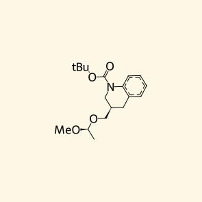 CO[C@H](C)OC[C@@H]1Cc2ccccc2N(C(=O)OC(C)(C)C)C1